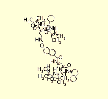 CC[C@H](NC)C(=O)N[C@H](C(=O)N[C@@H](CCNCOc1ccc2cc(C(=O)N[C@H]3C[C@@H](C(=O)N[C@@H]4CCCc5ccccc54)N(C(=O)[C@@H](NC(=O)[C@H](C)NC)C(C)(C)C)C3)ccc2c1)C(=O)N[C@H](C)C(C)C)C1CCCCC1